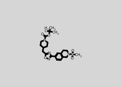 CC(C)(C)OC(=O)N1CCC(Cc2nc(-c3ccc4c(c3)CCN(S(C)(=O)=O)C4)no2)CC1